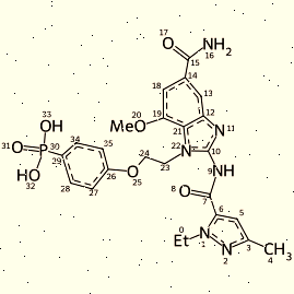 CCn1nc(C)cc1C(=O)Nc1nc2cc(C(N)=O)cc(OC)c2n1CCOc1ccc(P(=O)(O)O)cc1